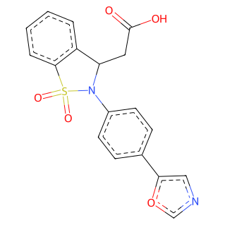 O=C(O)CC1c2ccccc2S(=O)(=O)N1c1ccc(-c2cnco2)cc1